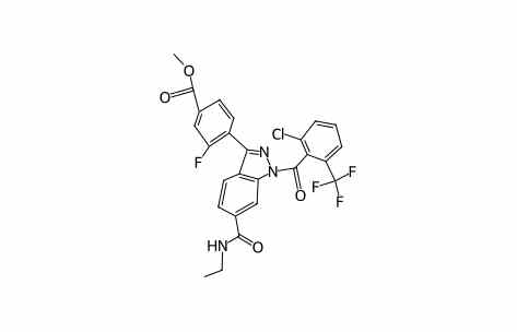 CCNC(=O)c1ccc2c(-c3ccc(C(=O)OC)cc3F)nn(C(=O)c3c(Cl)cccc3C(F)(F)F)c2c1